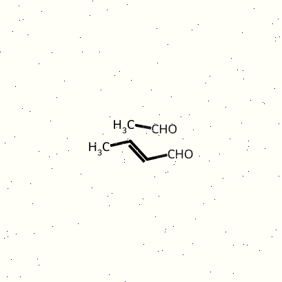 CC=CC=O.CC=O